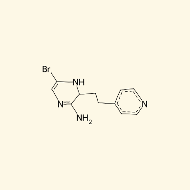 NC1=NC=C(Br)NC1CCc1ccncc1